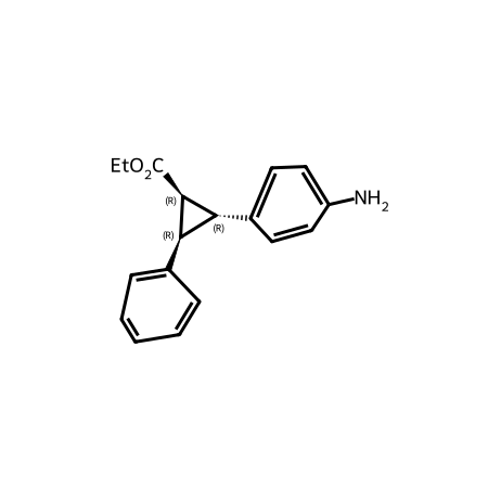 CCOC(=O)[C@@H]1[C@H](c2ccccc2)[C@H]1c1ccc(N)cc1